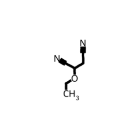 CCOC(C#N)CC#N